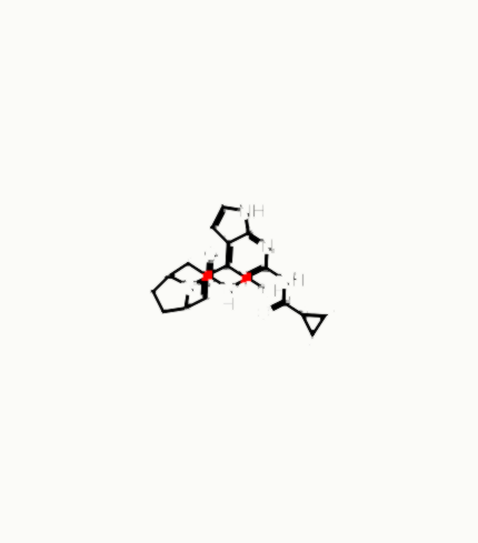 O=C(Nc1cc(C2=CC3CCC(C2)N3C(=O)NCC(F)(F)F)c2cc[nH]c2n1)C1CC1